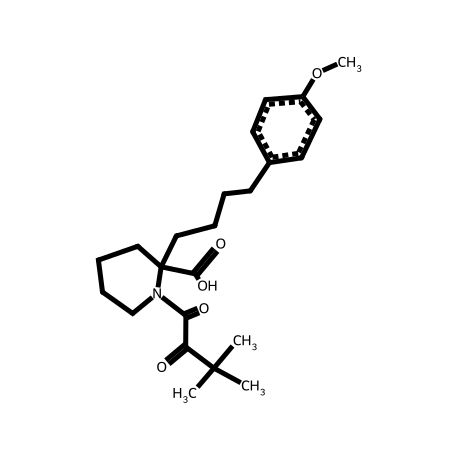 COc1ccc(CCCCC2(C(=O)O)CCCCN2C(=O)C(=O)C(C)(C)C)cc1